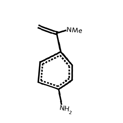 C=C(NC)c1ccc(N)cc1